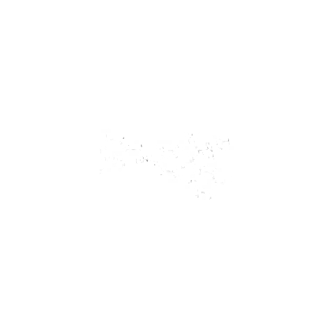 Cc1cccc(CNc2ccc(C(C(=O)NO)c3ccccc3)cc2)c1